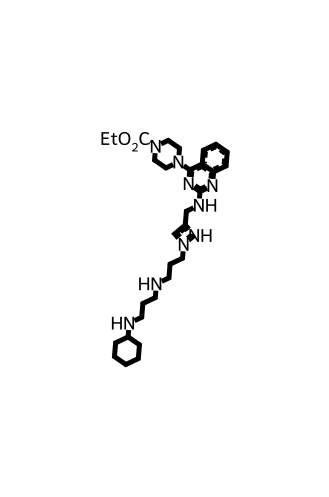 CCOC(=O)N1CCN(c2nc(NCc3cn(CCCNCCCNC4CCCCC4)[nH]3)nc3ccccc23)CC1